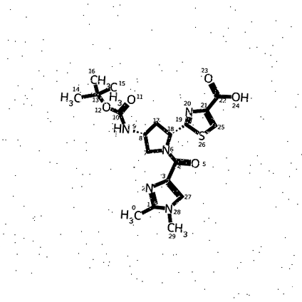 Cc1nc(C(=O)N2C[C@H](NC(=O)OC(C)(C)C)C[C@@H]2c2nc(C(=O)O)cs2)cn1C